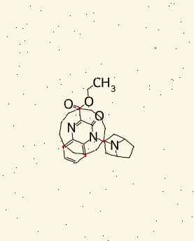 CCOC(=O)c1nc2ccccc2n(C2CC3CCC(C2)N3C2CCCCCCCCCCC2)c1=O